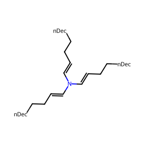 CCCCCCCCCCCCC=CN(C=CCCCCCCCCCCCC)C=CCCCCCCCCCCCC